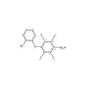 CC(C)c1ccccc1Oc1c(F)c(F)c(S(=O)(=O)O)c(F)c1F